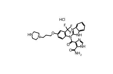 Cl.NC(=O)c1[nH]cnc1C(=O)N(c1nc2ccccc2[nH]1)c1ccc(OCCCN2CCNCC2)cc1C(F)(F)F